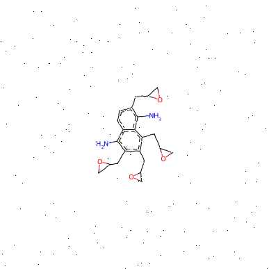 Nc1c(CC2CO2)c(CC2CO2)c(CC2CO2)c2c(N)c(CC3CO3)ccc12